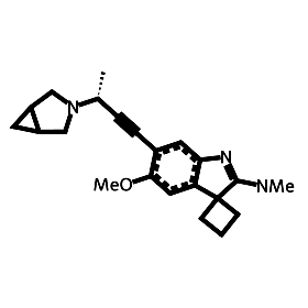 CNC1=Nc2cc(C#C[C@@H](C)N3CC4CC4C3)c(OC)cc2C12CCC2